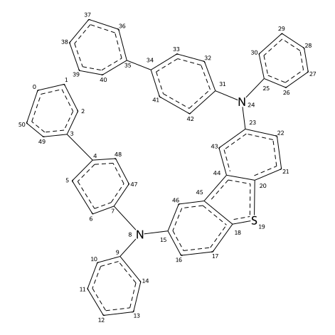 c1ccc(-c2ccc(N(c3ccccc3)c3ccc4sc5ccc(N(c6ccccc6)c6ccc(-c7ccccc7)cc6)cc5c4c3)cc2)cc1